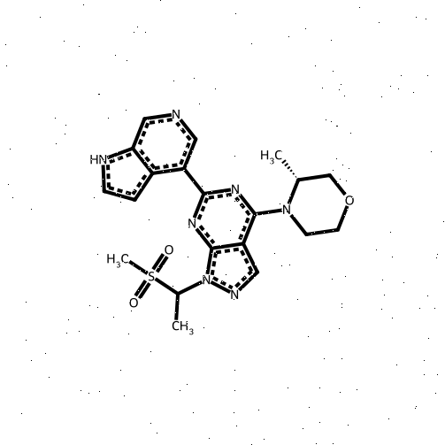 CC(n1ncc2c(N3CCOC[C@H]3C)nc(-c3cncc4[nH]ccc34)nc21)S(C)(=O)=O